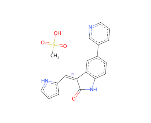 CS(=O)(=O)O.O=C1Nc2ccc(-c3cccnc3)cc2/C1=C/c1ccc[nH]1